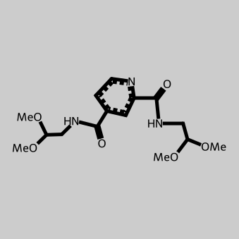 COC(CNC(=O)c1ccnc(C(=O)NCC(OC)OC)c1)OC